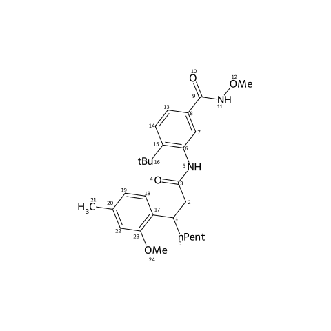 CCCCCC(CC(=O)Nc1cc(C(=O)NOC)ccc1C(C)(C)C)c1ccc(C)cc1OC